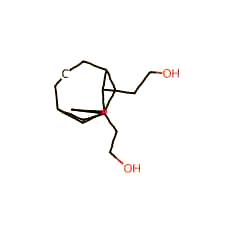 OCCC1C2CCCC3CC(C2)CC1(CCO)C3